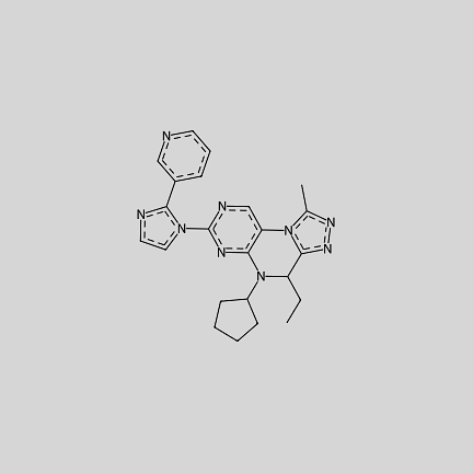 CCC1c2nnc(C)n2-c2cnc(-n3ccnc3-c3cccnc3)nc2N1C1CCCC1